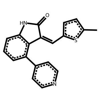 Cc1ccc(C=C2C(=O)Nc3cccc(-c4ccncc4)c32)s1